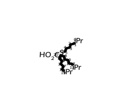 CC(C)CCCCCSC(CCCCCC(C)C)(CCCCCC(C)C)C(=O)O